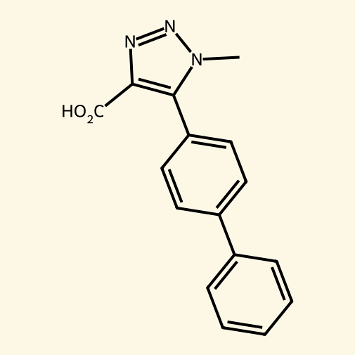 Cn1nnc(C(=O)O)c1-c1ccc(-c2ccccc2)cc1